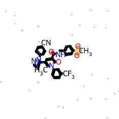 Cc1c(-c2ccnn2-c2ccc(C#N)cc2)cc(C(=O)NCc2ccc(S(C)(=O)=O)cc2)c(=O)n1-c1cccc(C(F)(F)F)c1